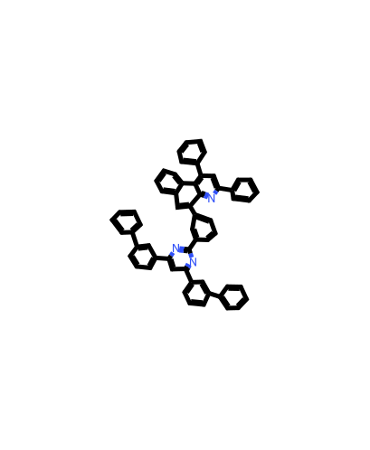 c1ccc(-c2cccc(-c3cc(-c4cccc(-c5ccccc5)c4)nc(-c4cccc(-c5cc6ccccc6c6c(-c7ccccc7)cc(-c7ccccc7)nc56)c4)n3)c2)cc1